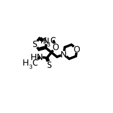 CNC(=S)C(CN1CCOCC1)(OC)c1cscn1